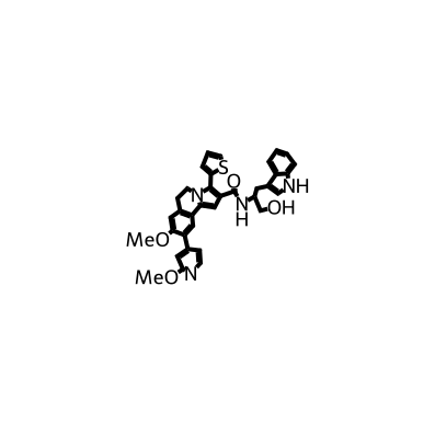 COc1cc(-c2cc3c(cc2OC)CCn2c-3cc(C(=O)NC(CO)Cc3c[nH]c4ccccc34)c2-c2cccs2)ccn1